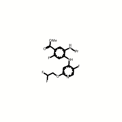 COC(=O)c1cc(NC(C)C)c(Nc2cc(OCC(F)F)ncc2F)cc1F